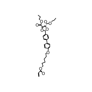 C=CC(=O)OCCCCCCOc1ccc(-c2ccc(C3O[C@@H](C(=O)OCCC)[C@H](C(=O)OCCC)O3)cc2)cc1